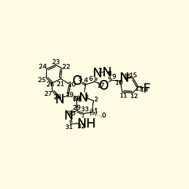 C[C@H]1CN(C(=O)c2nnc(-c3ccc(F)cn3)o2)[C@@H](c2cc3ccccc3cn2)c2nc[nH]c21